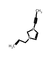 C=CCN1C=CN(C#CC)C1